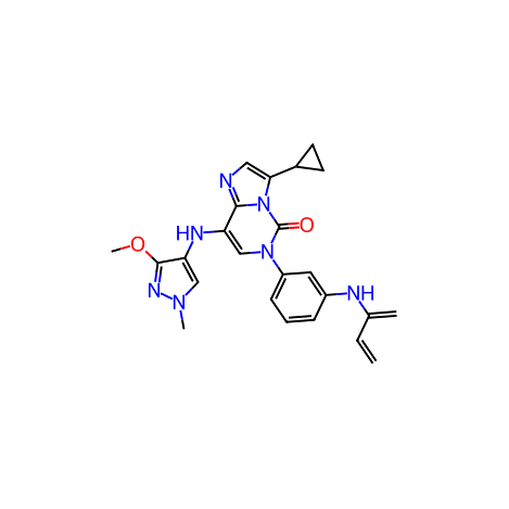 C=CC(=C)Nc1cccc(-n2cc(Nc3cn(C)nc3OC)c3ncc(C4CC4)n3c2=O)c1